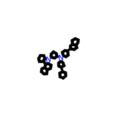 c1ccc(-c2ccc(N(c3ccc(-c4ccc5ccccc5c4)cc3)c3cccc(-n4c5ccccc5c5c6ccccc6ccc54)c3)cc2)cc1